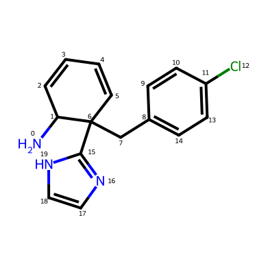 NC1C=CC=CC1(Cc1ccc(Cl)cc1)c1ncc[nH]1